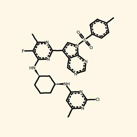 Cc1ccc(S(=O)(=O)n2cc(-c3nc(C)c(F)c(N[C@@H]4CCC[C@H](Nc5cc(C)nc(Cl)n5)C4)n3)c3cncnc32)cc1